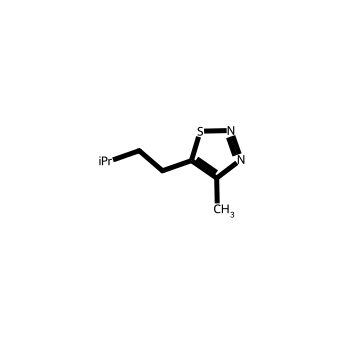 Cc1nnsc1CCC(C)C